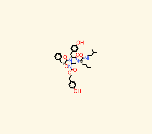 CCCC[C@@H](C(=O)NCCC(C)C)N1CC2N(C(=O)OCCc3ccc(O)cc3)O[C@H](Cc3ccccc3)C(=O)N2[C@@H](Cc2ccc(O)cc2)C1=O